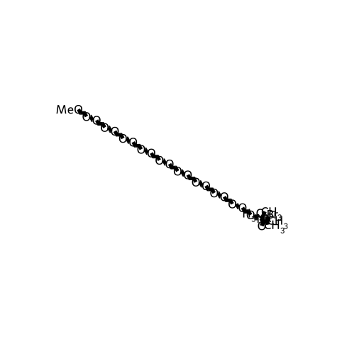 COCCOCCOCCOCCOCCOCCOCCOCCOCCOCCOCCOCCOCCOCCOCCOCCOCCOCCOCCOCCN1C(=O)C(C)(C)N(Br)C1(C)C